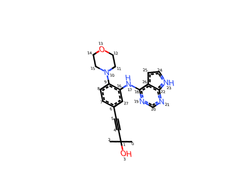 CC(C)(O)C#Cc1ccc(N2CCOCC2)c(Nc2ncnc3[nH]ccc23)c1